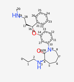 CCCN[C@@H]1CCCCN(c2cccc(O[C@@H](CCNC)c3ccccc3)c2)C1=O